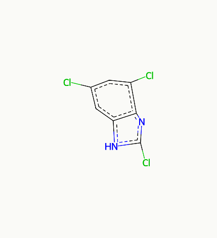 Clc1cc(Cl)c2nc(Cl)[nH]c2c1